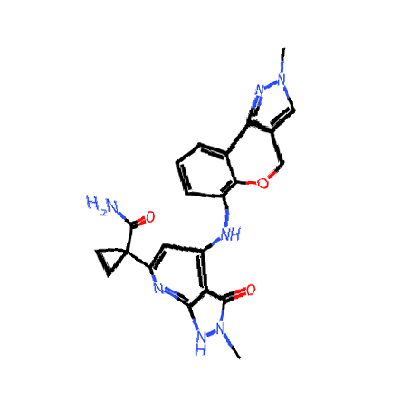 Cn1cc2c(n1)-c1cccc(Nc3cc(C4(C(N)=O)CC4)nc4[nH]n(C)c(=O)c34)c1OC2